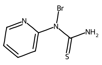 NC(=S)N(Br)c1ccccn1